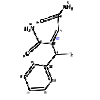 CC(/C(=C/C(N)=O)C(N)=O)c1ccccc1